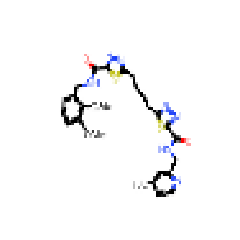 COc1cccc(CNC(=O)c2nnc(CCCCc3nnc(C(=O)NCc4cc(C(F)(F)F)ccn4)s3)s2)c1OC